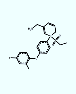 CCS(=O)(=O)[N+]1(c2ccc(Oc3ccc(F)cc3F)cc2)C=C(CN)C=CC1